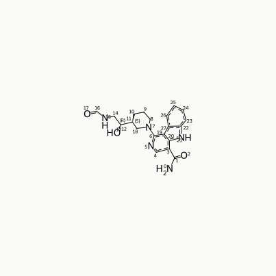 NC(=O)c1cnc(N2CCC[C@H]([C@@H](O)CNC=O)C2)c2c1[nH]c1ccccc12